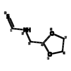 S=CNCC1OCCO1